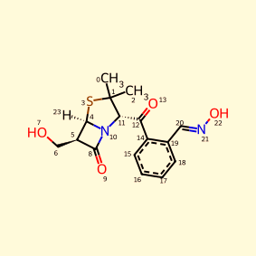 CC1(C)S[C@@H]2[C@H](CO)C(=O)N2[C@H]1C(=O)c1ccccc1/C=N/O